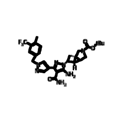 Cc1ccc(Cn2cc(-c3nn([C@@H]4C[C@]56CN(C(=O)OC(C)(C)C)CC5[C@H]46)c(N)c3C(N)=O)cn2)cc1C(F)(F)F